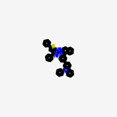 C1=C(c2ccccc2)SC2NC(n3c4ccc(-c5ccc6c7ccccc7n(-c7ccccc7)c6c5)cc4c4c5ccccc5ccc43)=NC(c3ccccc3)=C12